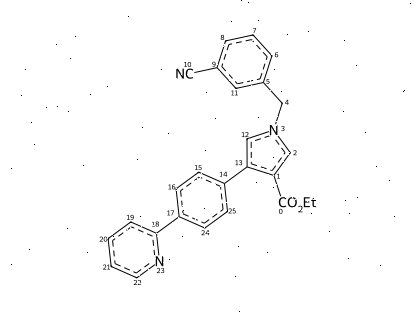 CCOC(=O)c1cn(Cc2cccc(C#N)c2)cc1-c1ccc(-c2ccccn2)cc1